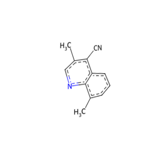 Cc1cnc2c(C)cccc2c1C#N